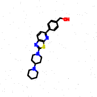 OCc1ccc(-c2ccc3nc(N4CCC(N5CCCCC5)CC4)sc3n2)cc1